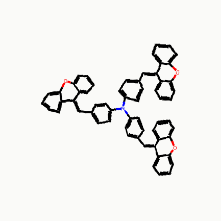 C(=C1c2ccccc2Oc2ccccc21)c1ccc(N(c2ccc(C=C3c4ccccc4Oc4ccccc43)cc2)c2ccc(C=C3c4ccccc4Oc4ccccc43)cc2)cc1